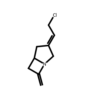 C=C1CC2C/C(=C\CCl)CN12